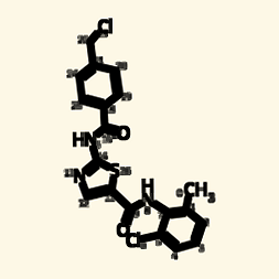 Cc1cccc(Cl)c1NC(=O)c1cnc(NC(=O)c2ccc(CCl)cc2)s1